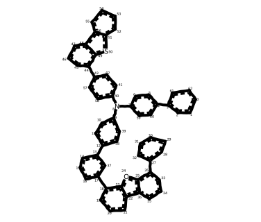 c1ccc(-c2ccc(N(c3ccc(-c4cccc(-c5cccc6c5oc5c(-c7ccccc7)cccc56)c4)cc3)c3ccc(-c4cccc5c4sc4ccccc45)cc3)cc2)cc1